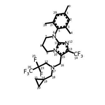 Cc1cc(C)c(N2CCCn3c2nc(C(F)(F)F)c3CN(CC2CC2)CC(F)(F)C(F)(F)F)c(C)c1